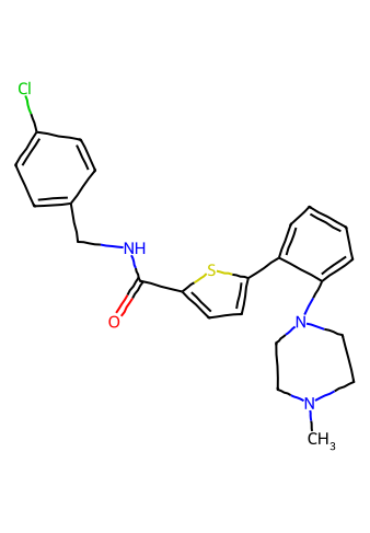 CN1CCN(c2ccccc2-c2ccc(C(=O)NCc3ccc(Cl)cc3)s2)CC1